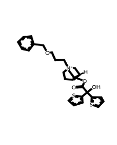 O=C(O[C@H]1C[N+]2(CCCOCc3ccccc3)CCC1CC2)C(O)(c1cccs1)c1cccs1